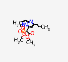 CCCc1cc(C(C(=O)OCC)P(=O)(OCC)OCC)n2nccc2n1